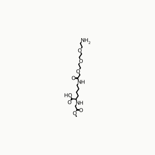 COC(=O)CNC(CCCCNC(=O)COCCOCCOCCN)C(=O)O